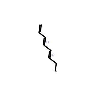 [CH]=C/C=C/C=C/C[CH2]